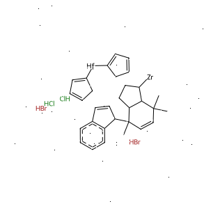 Br.Br.C1=CC[C]([Hf][C]2=CC=CC2)=C1.CC1(C)C=CC(C)(C2C=Cc3ccccc32)C2CC[CH]([Zr])C21.Cl.Cl